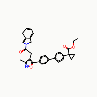 CCOC(=O)C1(c2ccc(-c3ccc(-c4onc(C)c4CC(=O)N4C=C5CC=CC=C5C4)cc3)cc2)CC1